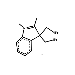 CC1=[N+](C)c2ccccc2C1(CC(C)C)CC(C)C.[I-]